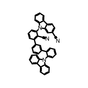 N#Cc1ccc2c3ccccc3n(-c3cccc(-c4cccc(-c5ccccc5-n5c6ccccc6c6ccccc65)c4)c3C#N)c2c1